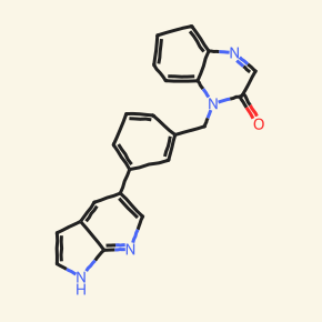 O=c1cnc2ccccc2n1Cc1cccc(-c2cnc3[nH]ccc3c2)c1